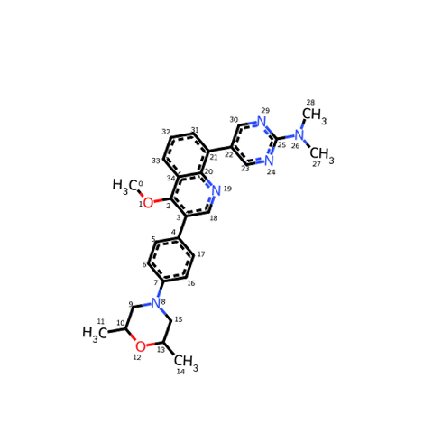 COc1c(-c2ccc(N3CC(C)OC(C)C3)cc2)cnc2c(-c3cnc(N(C)C)nc3)cccc12